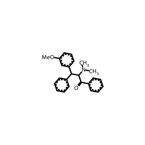 COc1cccc(C(c2ccccc2)C(C(=O)c2ccccc2)N(C)C)c1